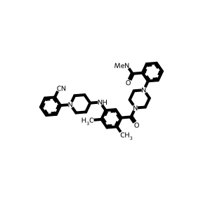 CNC(=O)c1ccccc1N1CCN(C(=O)c2cc(NC3CCN(c4ccccc4C#N)CC3)c(C)cc2C)CC1